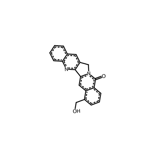 O=c1c2cccc(CO)c2cc2n1Cc1cc3ccccc3nc1-2